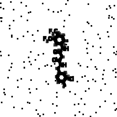 Cc1ccc(CNC(=O)CC(=O)Nc2ccc(C(F)(F)F)c(C(F)(F)F)c2)cc1Cl